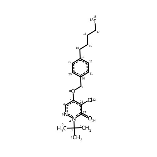 CC(C)(C)n1ncc(OCc2ccc(CCCC[18F])cc2)c(Cl)c1=O